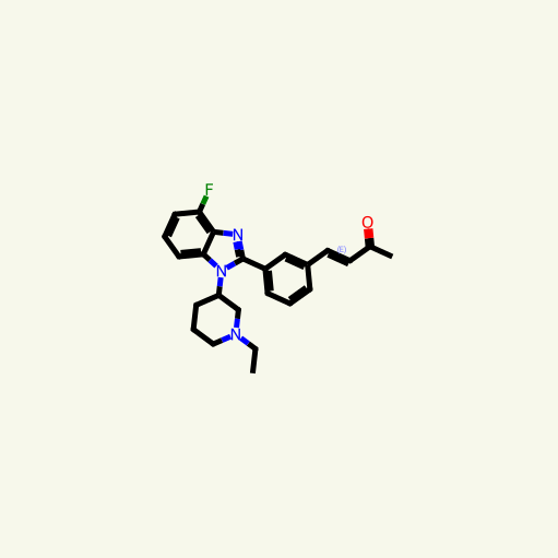 CCN1CCCC(n2c(-c3cccc(/C=C/C(C)=O)c3)nc3c(F)cccc32)C1